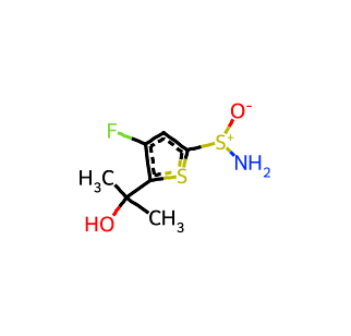 CC(C)(O)c1sc([S+](N)[O-])cc1F